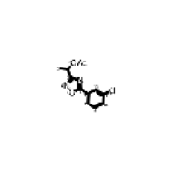 CC(=O)OC(C)c1noc(-c2cccc(Cl)c2)n1